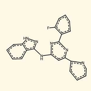 Fc1ccccc1-c1nc(Nc2n[nH]c3ccccc23)cc(-c2ccccn2)n1